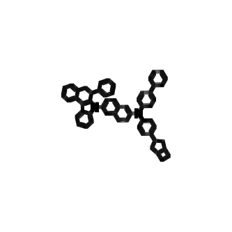 c1ccc(-c2ccc(N(c3ccc(C4CC5CCC5C4)cc3)c3ccc4cc(-n5c6c(c7ccccc75)-c5ccccc5CC6c5ccccc5)ccc4c3)cc2)cc1